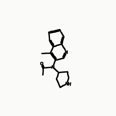 CC(=O)N(c1cnc2ccccc2c1C)C1CCNCC1